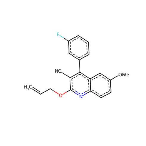 C=CCOc1nc2ccc(OC)cc2c(-c2cccc(F)c2)c1C#N